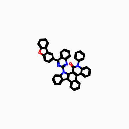 O=c1c2c(c3ccccc3c3c4ccccc4n(-c4nc(-c5ccc6oc7ccccc7c6c5)c5ccccc5n4)c23)c2ccccc2n1-c1ccccc1